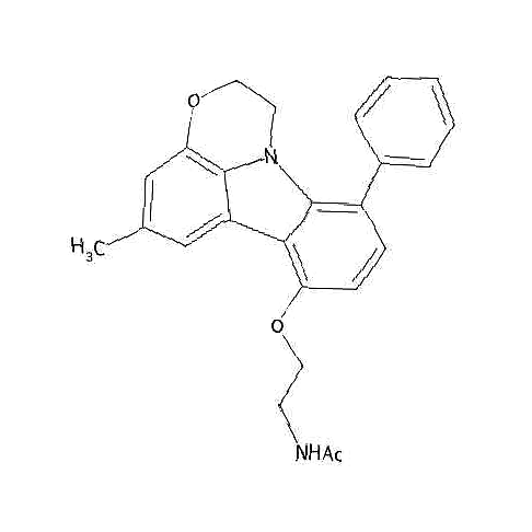 CC(=O)NCCOc1ccc(-c2ccccc2)c2c1c1cc(C)cc3c1n2CCO3